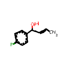 CC=CC(O)c1ccc(F)cc1